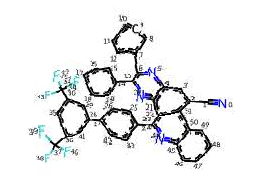 N#Cc1cc2nc(-c3ccccc3)c(-c3ccccc3)nc2c2c(-c3ccc(-c4cc(C(F)(F)F)cc(C(F)(F)F)c4)cc3)nc3ccccc3c12